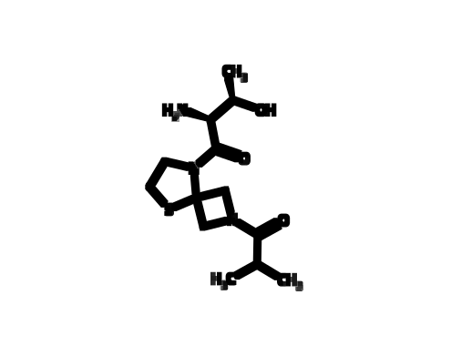 CC(C)C(=O)N1CC2(C1)SCCN2C(=O)[C@@H](N)[C@@H](C)O